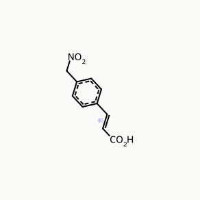 O=C(O)/C=C/c1ccc(C[N+](=O)[O-])cc1